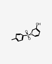 Cc1ccc(S(=O)(=O)N2C=CC=C(O)C2)cc1